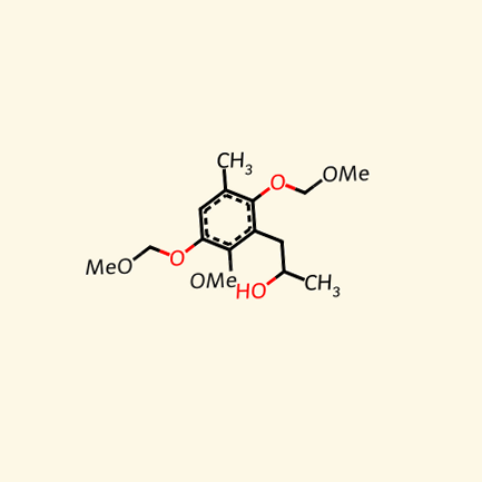 COCOc1cc(C)c(OCOC)c(CC(C)O)c1OC